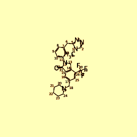 Cn1cnnc1Cc1cccc(N2Cc3c(cc(CN4CCCCC4)cc3C(F)(F)F)C2=O)c1